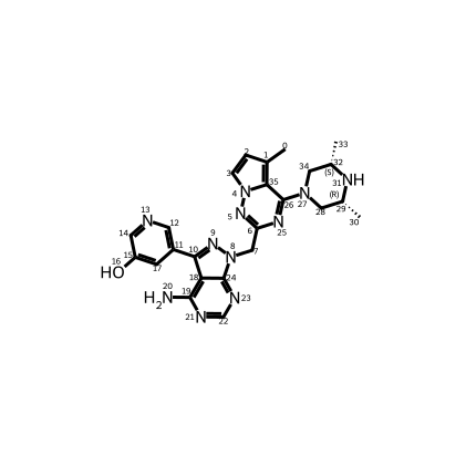 Cc1ccn2nc(Cn3nc(-c4cncc(O)c4)c4c(N)ncnc43)nc(N3C[C@@H](C)N[C@@H](C)C3)c12